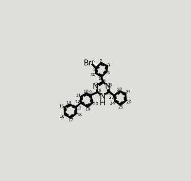 Brc1cccc(C2=NC(c3ccc(-c4ccccc4)cc3)NC(c3ccccc3)=N2)c1